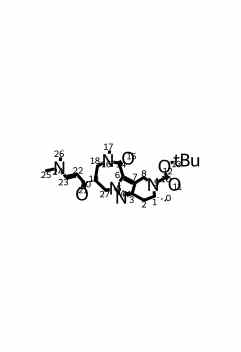 C[C@@H]1Cc2nn3c(c2CN1C(=O)OC(C)(C)C)C(=O)N(C)C[C@@H](C(=O)/C=C/N(C)C)C3